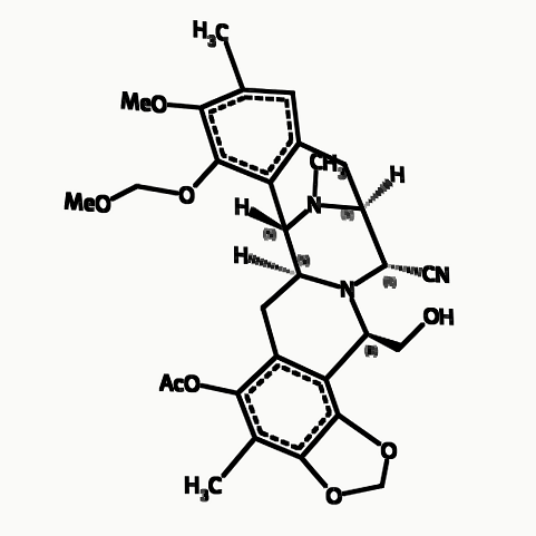 COCOc1c(OC)c(C)cc2c1[C@H]1[C@@H]3Cc4c(OC(C)=O)c(C)c5c(c4[C@H](CO)N3[C@@H](C#N)[C@H](C2)N1C)OCO5